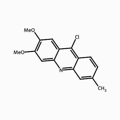 COc1cc2nc3cc(C)ccc3c(Cl)c2cc1OC